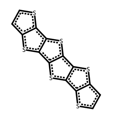 c1cc2sc3c(sc4c5sc6ccsc6c5sc34)c2s1